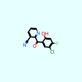 N#Cc1cccnc1C(=O)c1cc(Cl)c(F)cc1O